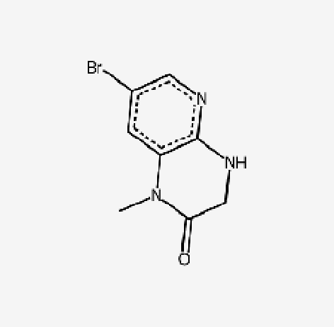 CN1C(=O)CNc2ncc(Br)cc21